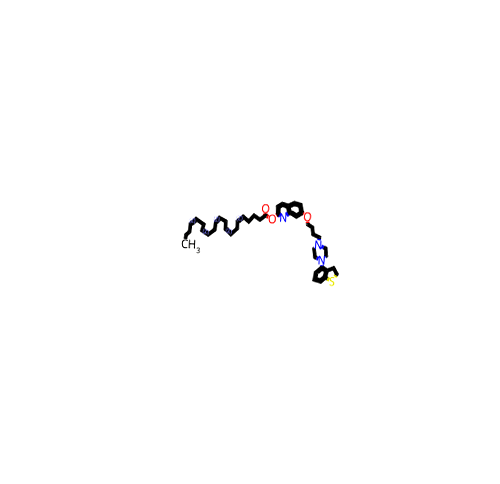 CCC/C=C\C/C=C\C/C=C\C/C=C\C/C=C\CCCC(=O)Oc1ccc2ccc(OCCCCN3CCN(c4cccc5c4CCS5)CC3)cc2n1